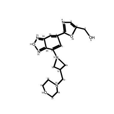 OCc1cnc(-c2cc(N3CC(CN4CCOCC4)C3)c3nonc3c2)o1